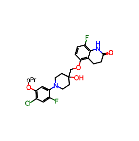 CCCOc1cc(N2CCC(O)(COc3ccc(F)c4c3CCC(=O)N4)CC2)c(F)cc1Cl